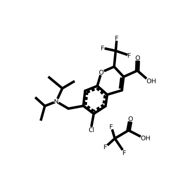 CC(C)N(Cc1cc2c(cc1Cl)C=C(C(=O)O)C(C(F)(F)F)O2)C(C)C.O=C(O)C(F)(F)F